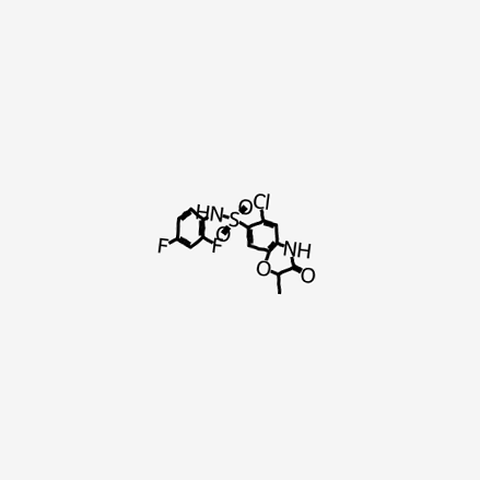 CC1Oc2cc(S(=O)(=O)Nc3ccc(F)cc3F)c(Cl)cc2NC1=O